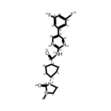 CN1CCN([C@H]2CC[C@@H](C(=O)Nc3ncc(-c4cc(F)cc(F)c4)cn3)CC2)C1=O